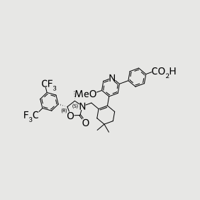 COc1cnc(-c2ccc(C(=O)O)cc2)cc1C1=C(CN2C(=O)O[C@H](c3cc(C(F)(F)F)cc(C(F)(F)F)c3)[C@@H]2C)CC(C)(C)CC1